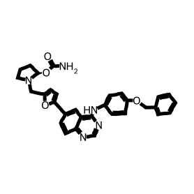 NC(=O)O[C@H]1CCCN1Cc1ccc(-c2ccc3ncnc(Nc4ccc(OCc5ccccc5)cc4)c3c2)o1